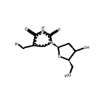 O=c1[nH]c(=O)n([C@H]2CC(O)[C@@H](CO)O2)cc1CBr